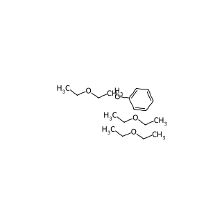 CCOCC.CCOCC.CCOCC.Cc1ccccc1